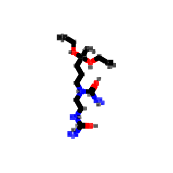 CCO[Si](C)(CCCN(CCNC(N)=O)C(N)=O)OCC